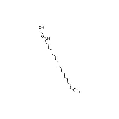 CCCCCCCCCCCCCCCCCCNOCCO